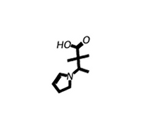 CC(N1C=CCC1)C(C)(C)C(=O)O